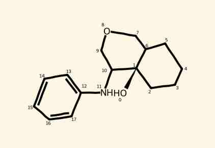 O[C@]12CCCCC1COCC2Nc1ccccc1